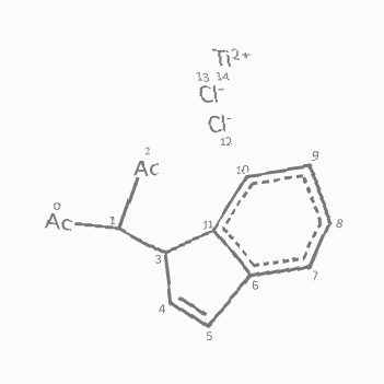 CC(=O)C(C(C)=O)C1C=Cc2ccccc21.[Cl-].[Cl-].[Ti+2]